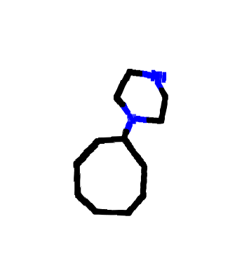 C1CCCC(N2CCNCC2)CCC1